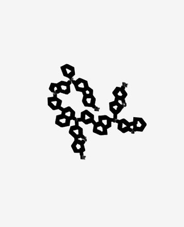 Brc1ccc2c(c1)Cc1ccc(N(c3ccccc3)c3ccc4c(ccn4-c4cccc(-c5ccc(N(c6cccc(-c7cccc8cc(N(c9ccc%10c(c9)oc9cc(Br)ccc9%10)c9ccc%10sc%11ccccc%11c%10c9)ccc78)c6)c6ccc7c(c6)sc6cc(Br)ccc67)c6ccccc56)c4)c3)cc1-2